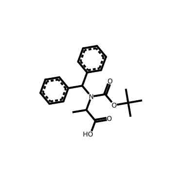 CC(C(=O)O)N(C(=O)OC(C)(C)C)C(c1ccccc1)c1ccccc1